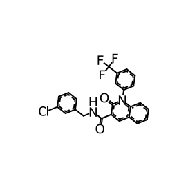 O=C(NCc1cccc(Cl)c1)c1cc2ccccc2n(-c2cccc(C(F)(F)F)c2)c1=O